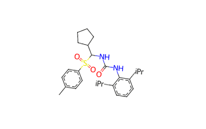 Cc1ccc(S(=O)(=O)C(NC(=O)Nc2c(C(C)C)cccc2C(C)C)C2CCCC2)cc1